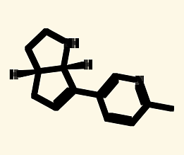 Cc1ccc(C2=CC[C@@H]3CCN[C@H]23)cn1